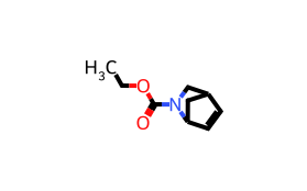 CCOC(=O)N1CC2C=CC1C2